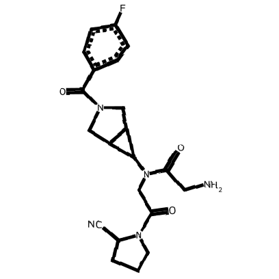 N#CC1CCCN1C(=O)CN(C(=O)CN)C1C2CN(C(=O)c3ccc(F)cc3)CC21